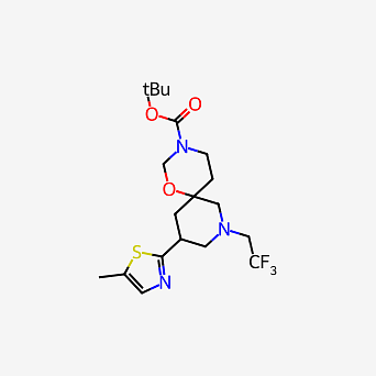 Cc1cnc(C2CN(CC(F)(F)F)CC3(CCN(C(=O)OC(C)(C)C)CO3)C2)s1